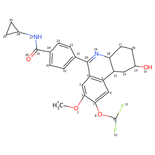 COc1cc2c(cc1OC(F)F)C1CC(O)CCC1N=C2c1ccc(C(=O)NC2CC2)cc1